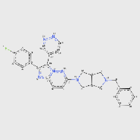 Fc1ccc(-c2nc3ccc(N4CC5CN(Cc6ccccc6)CC5C4)nn3c2-c2ccnnc2)cc1